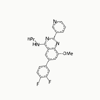 CCCNc1nc(-c2cccnc2)nc2c(OC)cc(-c3ccc(F)c(F)c3)cc12